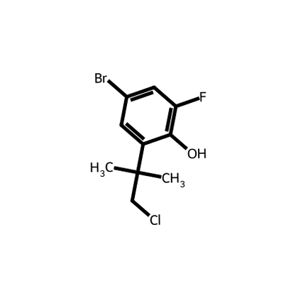 CC(C)(CCl)c1cc(Br)cc(F)c1O